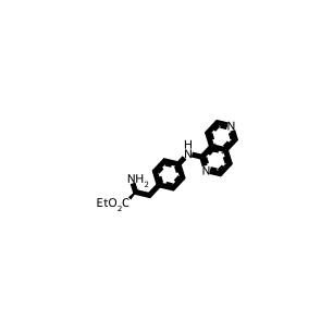 CCOC(=O)[C@@H](N)Cc1ccc(Nc2nccc3cnccc23)cc1